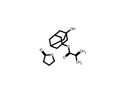 C=C(C)C(=O)OC12CC3CC(CC(O)(C3)C1)C2.O=C1[CH]CCO1